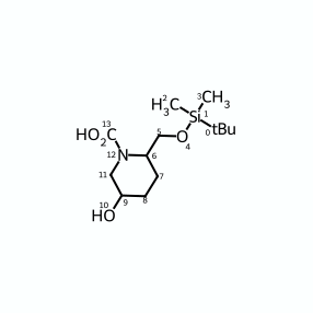 CC(C)(C)[Si](C)(C)OCC1CCC(O)CN1C(=O)O